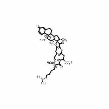 C[C@@H]1CC2C3CCC4=CC(=O)C=C[C@]4(C)[C@@]3(F)[C@@H](O)C[C@]2(C)[C@@]1(OC(=O)CCCON(O)O)C(=O)COC(=O)CC(NC(=O)CCCCCON(O)O)C(=O)O